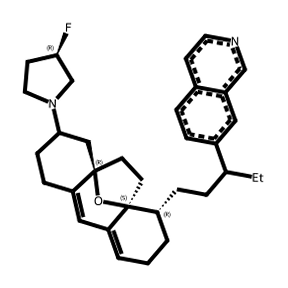 CCC(CC[C@@H]1CCC=C2C=C3CCC(N4CC[C@@H](F)C4)C[C@]34CC[C@@]21O4)c1ccc2ccncc2c1